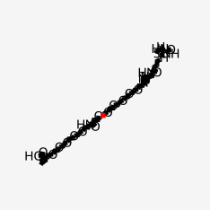 CC(C)(C)N(CCOCCOCCOCCOCCOCCNC(=O)CCOCCOCCOCCOCCOCCOCCn1cc(CNC(=O)CCCC[C@@H]2SC[C@@H]3NC(=O)N[C@@H]32)nn1)C(=O)O